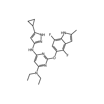 CCN(CC)c1cc(Nc2cc(C3CC3)[nH]n2)nc(Oc2cc(F)c3[nH]c(C)cc3c2F)n1